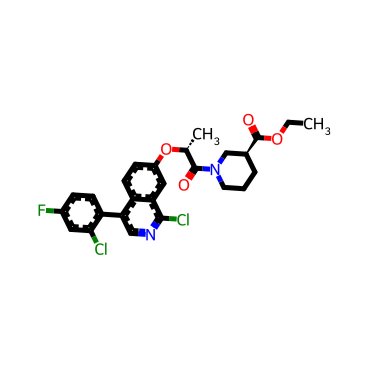 CCOC(=O)[C@H]1CCCN(C(=O)[C@@H](C)Oc2ccc3c(-c4ccc(F)cc4Cl)cnc(Cl)c3c2)C1